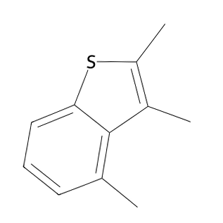 Cc1sc2cccc(C)c2c1C